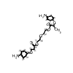 CC(Oc1ccc(N)cc1)C(=O)OCCOCCOC(=O)CCOc1ccc(N)cc1